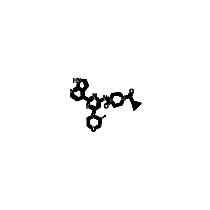 C[C@@H]1COCCN1c1cc(N=S2(=O)CCN(C(=O)C3CC3)CC2)nc(-c2ccnc3[nH]ccc23)n1